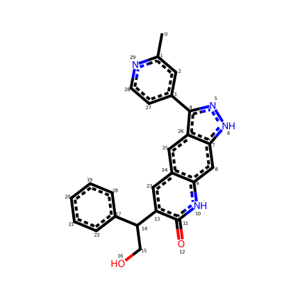 Cc1cc(-c2n[nH]c3cc4[nH]c(=O)c(C(CO)c5ccccc5)cc4cc23)ccn1